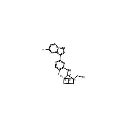 C[C@@]12C3C[C@H]1C(Nc1nc(-c4c[nH]c5ncc(Cl)cc45)ncc1F)[C@]2(CO)C3